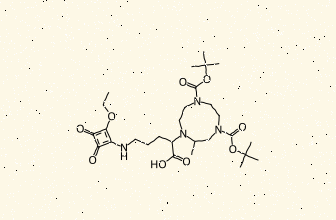 CCOc1c(NCCCC(C(=O)O)N2CCN(C(=O)OC(C)(C)C)CCN(C(=O)OC(C)(C)C)CC2C)c(=O)c1=O